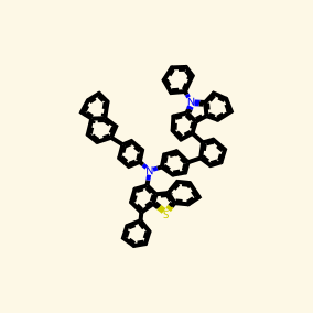 c1ccc(-c2ccc(N(c3ccc(-c4ccc5ccccc5c4)cc3)c3ccc(-c4ccccc4-c4cccc5c4c4ccccc4n5-c4ccccc4)cc3)c3c2sc2ccccc23)cc1